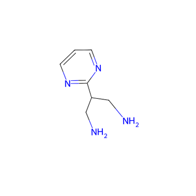 NCC(CN)c1ncccn1